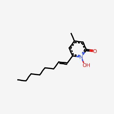 CCCCCCC=Cc1cc(C)cc(=O)n1O